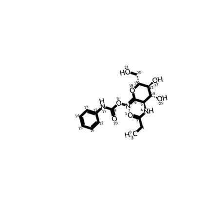 CCC(=O)N[C@H]1C(=NOC(=O)Nc2ccccc2)O[C@H](CO)[C@@H](O)[C@@H]1O